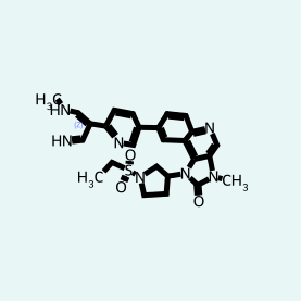 CCS(=O)(=O)N1CCC(n2c(=O)n(C)c3cnc4ccc(-c5ccc(/C(C=N)=C/NC)nc5)cc4c32)C1